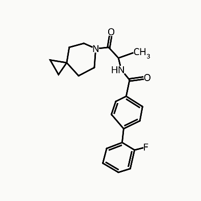 CC(NC(=O)c1ccc(-c2ccccc2F)cc1)C(=O)N1CCC2(CC1)CC2